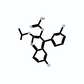 CC(C)Oc1nc2ccc(Cl)cc2c(-c2cccc(Cl)c2)c1OC(=O)O